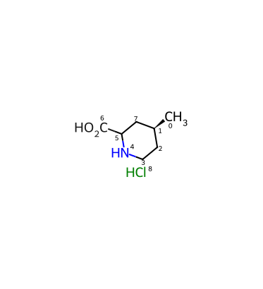 C[C@H]1CCNC(C(=O)O)C1.Cl